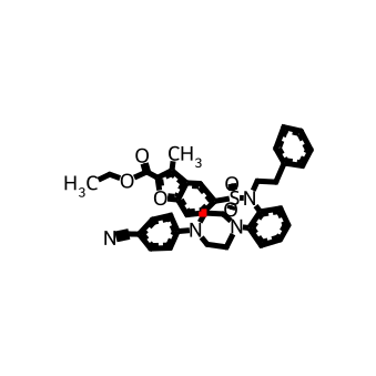 CCOC(=O)c1oc2ccc(S(=O)(=O)N(CCc3ccccc3)c3ccccc3N3CCN(c4ccc(C#N)cc4)CC3)cc2c1C